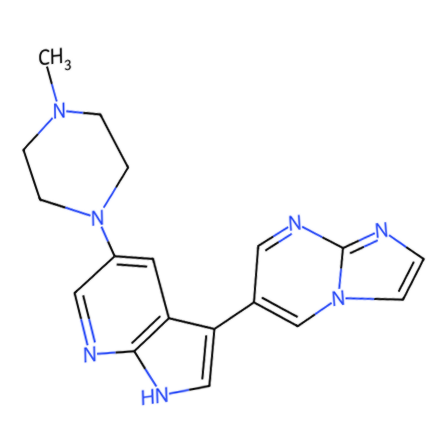 CN1CCN(c2cnc3[nH]cc(-c4cnc5nccn5c4)c3c2)CC1